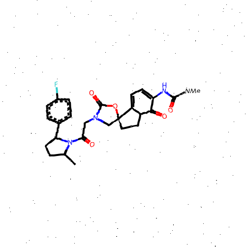 CNC(=O)NC1=CC=C2C(CC[C@]23CN(CC(=O)N2C(C)CCC2c2ccc(F)cc2)C(=O)O3)C1=O